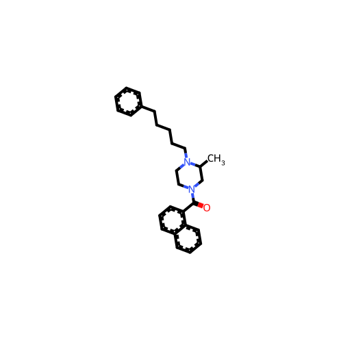 CC1CN(C(=O)c2cccc3ccccc23)CCN1CCCCCc1ccccc1